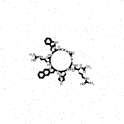 CC(=O)N[C@H](CCCNC(=N)N)C(=O)N[C@H]1CCC(=O)NCCNC(=O)[C@H](Cc2c[nH]c3ccccc23)NC(=O)[C@H](CCCNC(=N)N)NC(=O)C(Cc2ccc3ccccc3c2)NC(=O)[C@H](Cc2c[nH]cn2)NC1=O